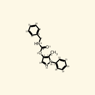 Cc1c(OC(=O)NCc2ccccc2)cnn1-c1ccccc1